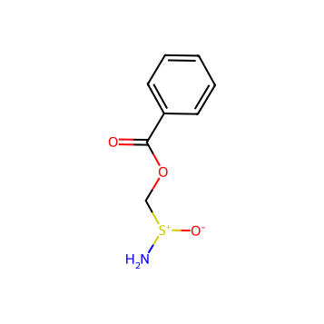 N[S+]([O-])COC(=O)c1ccccc1